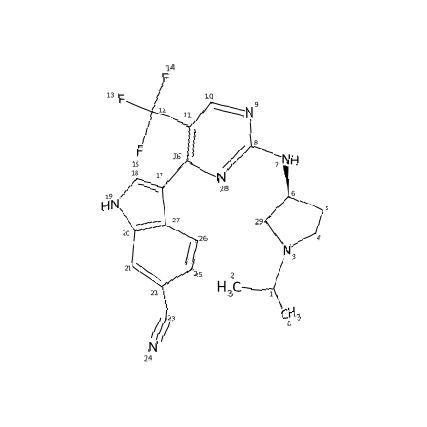 CC(C)N1CC[C@H](Nc2ncc(C(F)(F)F)c(-c3c[nH]c4cc(C#N)ccc34)n2)C1